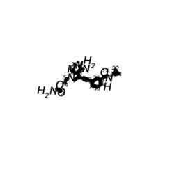 NC(=O)OCCn1cc(C#Cc2cccc(C(=O)NC3CC3)c2)c2c(N)ncnc21